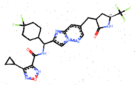 O=C(NC(c1cn2ncc(CC3C[C@@H](C(F)(F)F)NC3=O)cc2n1)C1CCC(F)(F)CC1)c1nonc1C1CC1